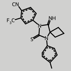 [C-]#[N+]c1ccc(N2C(=N)C3(CCC3)N(c3ccc(C)cc3)C2=S)cc1C(F)(F)F